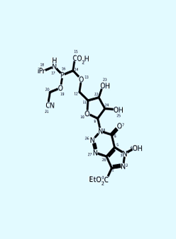 CCOC(=O)c1nn(O)c2c(=O)n(C3OC(COC(C(=O)O)P(NC(C)C)OCC#N)C(O)C3O)nnc12